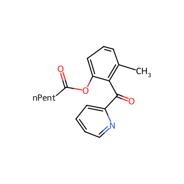 CCCCCC(=O)Oc1cccc(C)c1C(=O)c1ccccn1